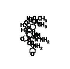 CC(C)[C@@H](C)[C@@]1(C)CC[C@]2(C)[C@H]3CC[C@@H]4[C@@]5(COC[C@@]4(C)[C@@H](OCC4(N)CCOCC4)[C@H](n4nnc(N)n4)C5)C3=CC[C@@]2(C)[C@@H]1C(=O)O